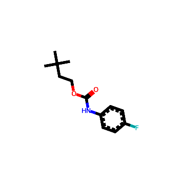 CC(C)(C)CCOC(=O)Nc1ccc(F)cc1